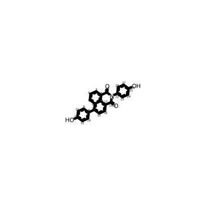 O=C1c2cccc3c(-c4ccc(O)cc4)ccc(c23)C(=O)N1c1ccc(O)cc1